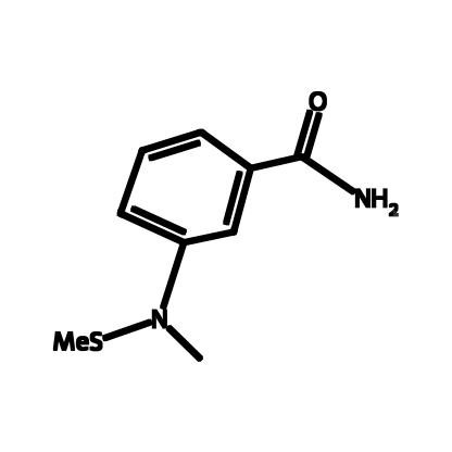 CSN(C)c1cccc(C(N)=O)c1